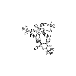 CS(=O)(=O)CCNc1c2c(C(F)(F)F)nc(C(F)(F)F)nc2nn1-c1c(Cl)cc(C(F)(F)F)cc1Cl